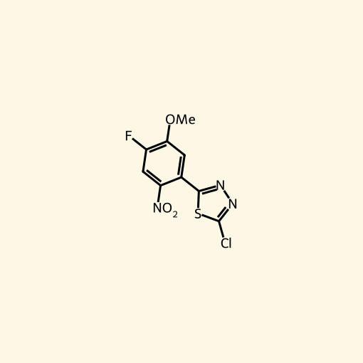 COc1cc(-c2nnc(Cl)s2)c([N+](=O)[O-])cc1F